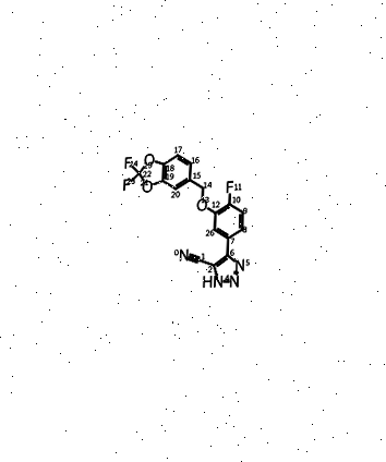 N#Cc1[nH]nnc1-c1ccc(F)c(OCc2ccc3c(c2)OC(F)(F)O3)c1